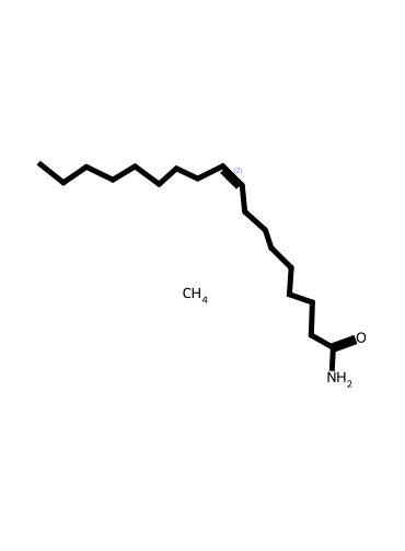 C.CCCCCCCC/C=C\CCCCCCCC(N)=O